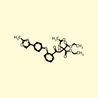 CCOC(=O)C(CC(=O)c1ccccc1Sc1ccc(-c2coc(C)n2)cc1)(NC(C)=O)C(=O)OCC